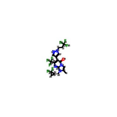 Cc1cn2c(=O)c(-c3cnn(CCC(F)(F)F)c3)c(C(F)(F)F)nc2n1C[C@@H]1CC1(F)F